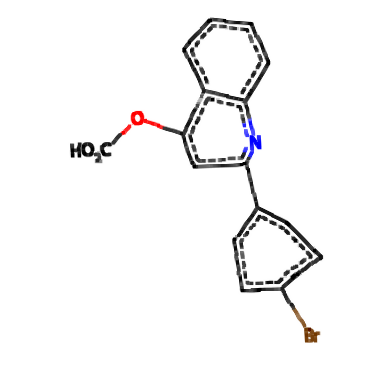 O=C(O)Oc1cc(-c2ccc(Br)cc2)nc2ccccc12